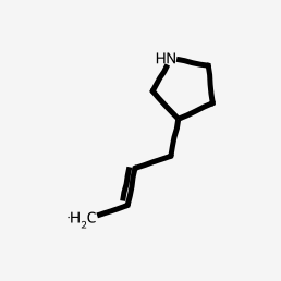 [CH2]C=CCC1CCNC1